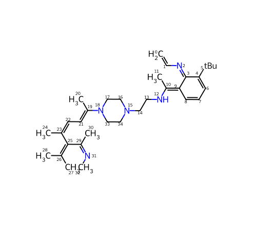 C=C/N=C1/C(C(C)(C)C)=CC=C/C1=C(/C)NCCN1CCN(/C(C)=C/C=C(/C)C(=C(C)C)/C(C)=N\C)CC1